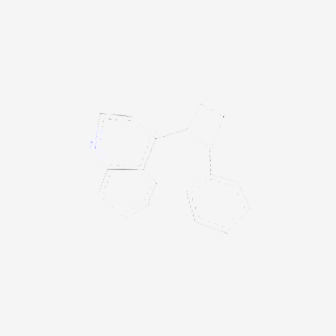 c1ccc(C2CCC2c2ccnc3ccccc23)cc1